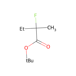 CCC(C)(F)C(=O)OC(C)(C)C